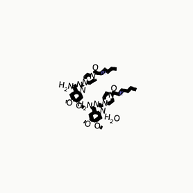 CCC/C=C/C(=O)N1CCN(c2nc(N)c3cc(OC)c(OC)cc3n2)CC1.CCC/C=C/C(=O)N1CCN(c2nc(N)c3cc(OC)c(OC)cc3n2)CC1.O